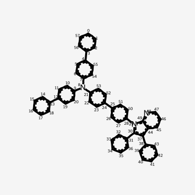 c1ccc(-c2ccc(N(c3ccc(-c4ccccc4)cc3)c3ccc(-c4ccc(-n5c(-c6ccccc6)c(-c6ccccc6)c6cccnc65)cc4)cc3)cc2)cc1